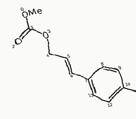 COC(=O)OCC=Cc1ccc(C)cc1